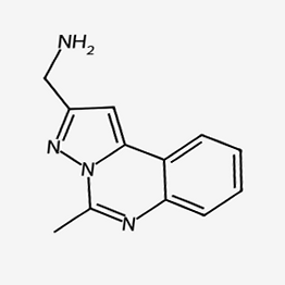 Cc1nc2ccccc2c2cc(CN)nn12